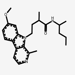 CCCC(C)NC(=O)C(C)CCn1c2cc(OC)ccc2c2ccnc(C)c21